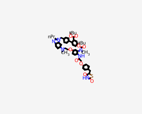 CCCc1nc2ccc(N(C)CCOc3ccc(NC(=O)COc4ccc(CC5SC(=O)NC5=O)cc4)c(N(C)C(=O)OC(C)(C)C)c3)cc2n1Cc1ccc(-c2ccccc2C(=O)OC(C)(C)C)cc1